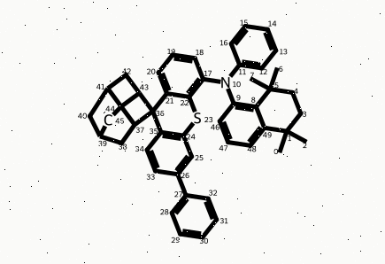 CC1(C)CCC(C)(C)c2c(N(c3ccccc3)c3cccc4c3Sc3cc(-c5ccccc5)ccc3C43C4CC5CC6CC3C64C5)cccc21